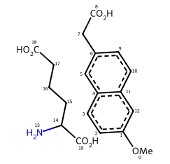 COc1ccc2cc(CC(=O)O)ccc2c1.NC(CCCC(=O)O)C(=O)O